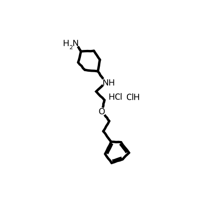 Cl.Cl.NC1CCC(NCCOCCc2ccccc2)CC1